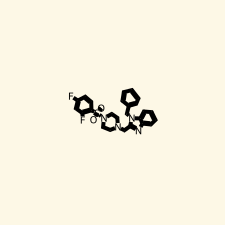 O=S(=O)(c1ccc(F)cc1F)N1CCN(Cc2nc3ccccc3n2Cc2ccccc2)CC1